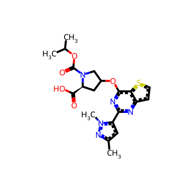 Cc1cc(-c2nc(OC3C[C@@H](C(=O)O)N(C(=O)OC(C)C)C3)c3sccc3n2)n(C)n1